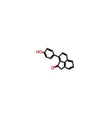 O=C1Cc2cccc3ccc(-c4ccc(O)cc4)c1c23